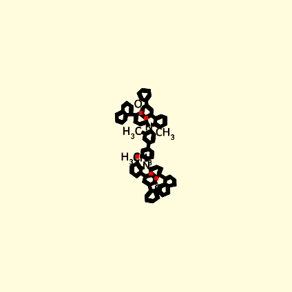 Cc1cc(-c2ccc(N(c3ccc(-c4cccc5ccccc45)cc3)c3c(C)cccc3-c3ccc4oc5ccccc5c4c3)c(C)c2)ccc1N(c1ccc(-c2cccc3ccccc23)cc1)c1c(C)cccc1-c1ccc2oc3ccccc3c2c1